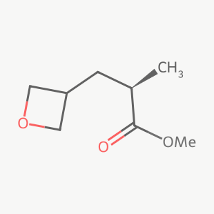 COC(=O)[C@H](C)CC1COC1